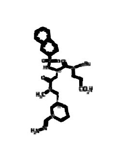 CCCCN(CCC(=O)O)C(=O)[C@H](CC(=O)N(C)C[C@@H]1CCCN(C=NN)C1)NS(=O)(=O)c1ccc2ccccc2c1